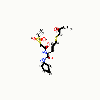 CS(=O)(=O)CC(=O)N[C@@H](CCCSCC(=O)C(F)(F)F)C(=O)NC1CCCC1